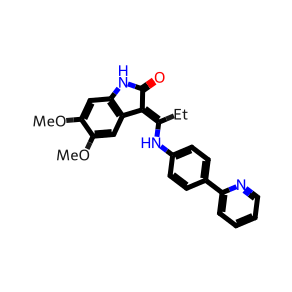 CC/C(Nc1ccc(-c2ccccn2)cc1)=C1\C(=O)Nc2cc(OC)c(OC)cc21